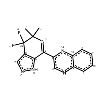 CC1(C)N=C(c2cnc3ccccc3n2)c2[nH]ncc2C1(F)F